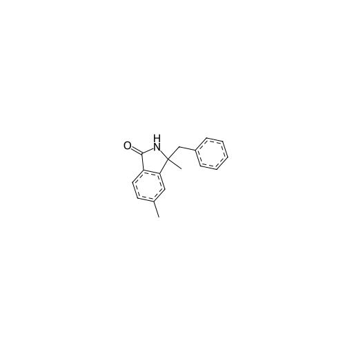 Cc1ccc2c(c1)C(C)(Cc1ccccc1)NC2=O